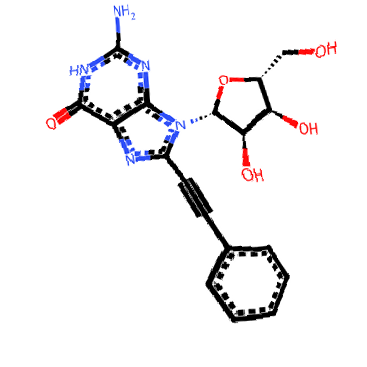 Nc1nc2c(nc(C#Cc3ccccc3)n2[C@@H]2O[C@H](CO)[C@@H](O)[C@H]2O)c(=O)[nH]1